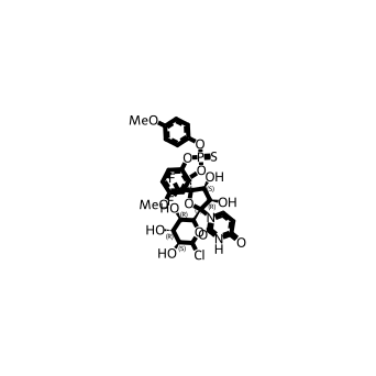 COc1ccc(OP(=S)(OC[C@@]2(C(F)F)O[C@@](C3OC(Cl)[C@@H](O)[C@H](O)[C@H]3O)(n3ccc(=O)[nH]c3=O)[C@H](O)[C@@H]2O)Oc2ccc(OC)cc2)cc1